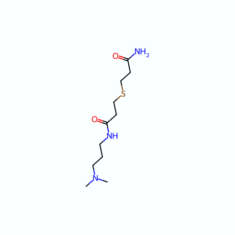 CN(C)CCCNC(=O)CCSCCC(N)=O